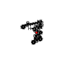 CC[C@H](C)[C@@H]([C@@H](CC(=O)N1CCC[C@H]1[C@H](OC)[C@@H](C)C(=O)N[C@@]1(C(=O)N2CCCCO2)C[C@@H]1c1ccccc1)OC)N(C)C(=O)[C@@H](NC(=O)[C@H](C(C)C)N(C)CCCCCCNC(=O)OCc1ccccc1)C(C)C